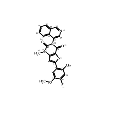 COc1cc(-c2cc3c(s2)c(=O)n(-c2cncc4ccccc24)c(=O)n3C)c(Cl)cc1F